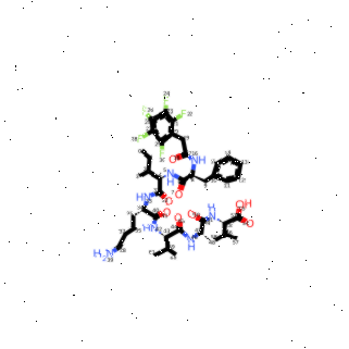 CCC(C)[C@H](NC(=O)[C@H](Cc1ccccc1)NC(=O)Cc1c(F)c(F)c(F)c(F)c1F)C(=O)N[C@@H](CCCCN)C(=O)N[C@H](C(=O)N[C@@H](C)C(=O)N[C@H](C(=O)O)C(C)C)C(C)C